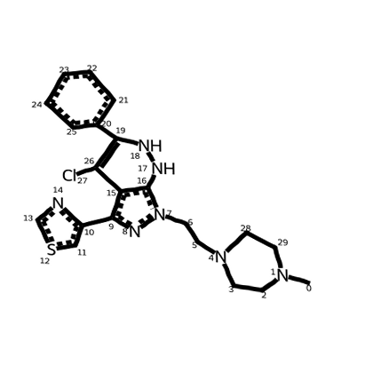 CN1CCN(CCn2nc(-c3cscn3)c3c2NNC(c2ccccc2)=C3Cl)CC1